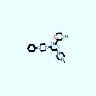 CN1CCN(c2nc(C3CNCCO3)nc(N3CCN(c4ccccc4)CC3)c2F)CC1